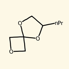 CCCC1COC2(COC2)O1